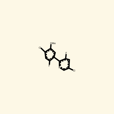 COc1cc(-c2ncc(Cl)cc2F)c(F)cc1Cl